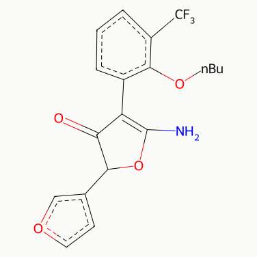 CCCCOc1c(C2=C(N)OC(c3ccoc3)C2=O)cccc1C(F)(F)F